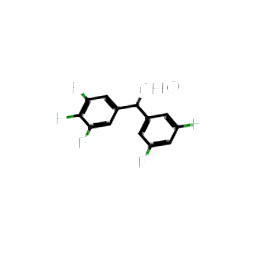 O=CC(c1cc(F)cc(F)c1)c1cc(F)c(F)c(F)c1